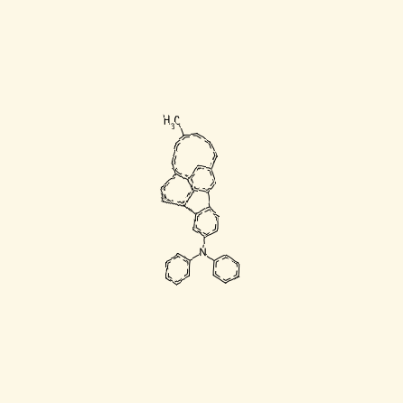 Cc1cccc2cc3c4c(ccc(cc1)c4c2)-c1cc(N(c2ccccc2)c2ccccc2)ccc1-3